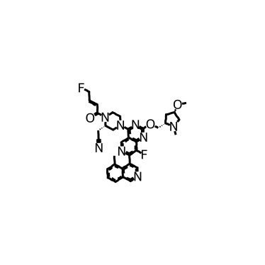 CO[C@@H]1C[C@@H](COc2nc(N3CCN(C(=O)/C=C/CF)[C@@H](CC#N)C3)c3cnc(-c4cncc5cccc(C)c45)c(F)c3n2)N(C)C1